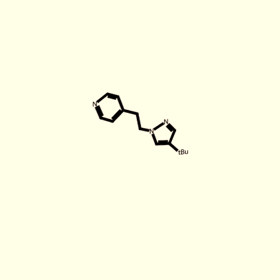 CC(C)(C)c1cnn(CCc2ccncc2)c1